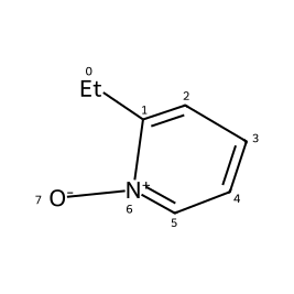 [CH2]Cc1cccc[n+]1[O-]